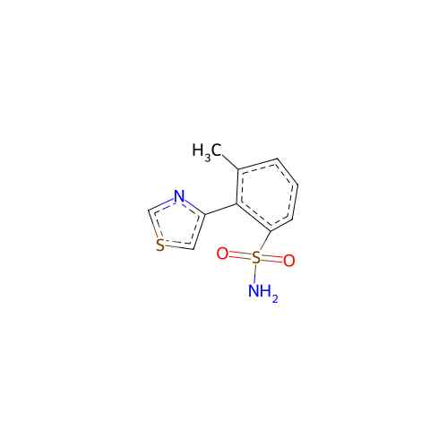 Cc1cccc(S(N)(=O)=O)c1-c1cscn1